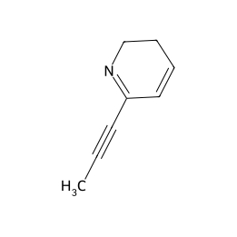 CC#CC1=NCCC=C1